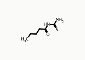 CCCCC(=O)NC(N)=S